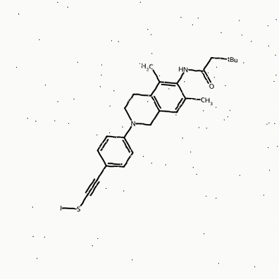 Cc1cc2c(c(C)c1NC(=O)CC(C)(C)C)CCN(c1ccc(C#CSI)cc1)C2